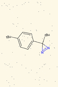 CC(C)(C)c1ccc(C2(C(C)(C)C)N=N2)cc1